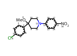 COC1(c2ccc(Cl)cc2)CCN(c2ccc([N+](=O)[O-])cc2)CC1